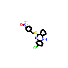 O=[N+]([O-])c1ccc(CSC2=Nc3cc(Cl)ccc3Nc3ccccc32)cc1